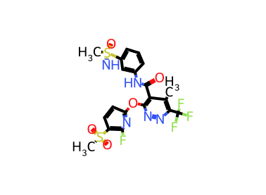 Cc1c(C(F)(F)F)nnc(Oc2ccc(S(C)(=O)=O)c(F)n2)c1C(=O)Nc1cccc(S(C)(=N)=O)c1